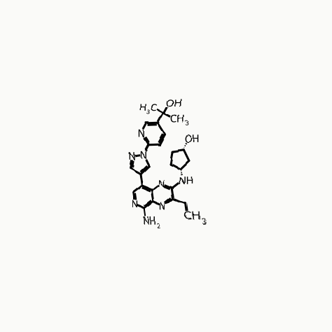 CCc1nc2c(N)ncc(-c3cnn(-c4ccc(C(C)(C)O)cn4)c3)c2nc1N[C@@H]1CC[C@H](O)C1